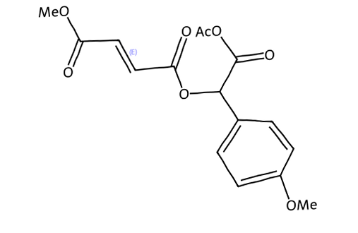 COC(=O)/C=C/C(=O)OC(C(=O)OC(C)=O)c1ccc(OC)cc1